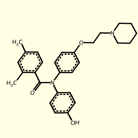 Cc1ccc(C(=O)N(c2ccc(O)cc2)c2ccc(OCCN3CCCCC3)cc2)c(C)c1